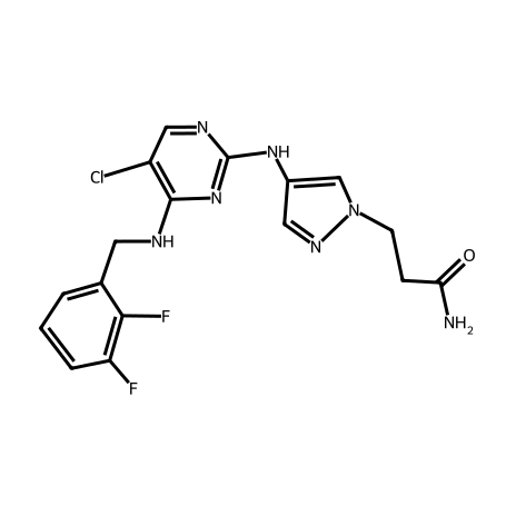 NC(=O)CCn1cc(Nc2ncc(Cl)c(NCc3cccc(F)c3F)n2)cn1